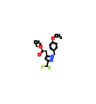 CCOC(=O)Cc1cc(C(F)F)nn1Cc1ccc(OC)cc1